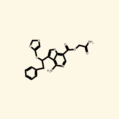 NC(=O)COC(=O)c1cnc(N)c2c(C(Cc3ccccc3)OC3=COCO3)csc12